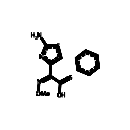 CO/N=C(\C(O)=S)c1csc(N)n1.c1ccccc1